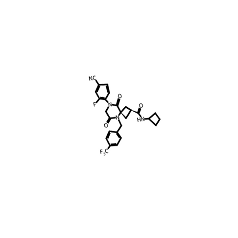 N#Cc1ccc(N2CC(=O)N(Cc3ccc(C(F)(F)F)cc3)[C@]3(C[C@H](C(=O)NC4CCC4)C3)C2=O)c(F)c1